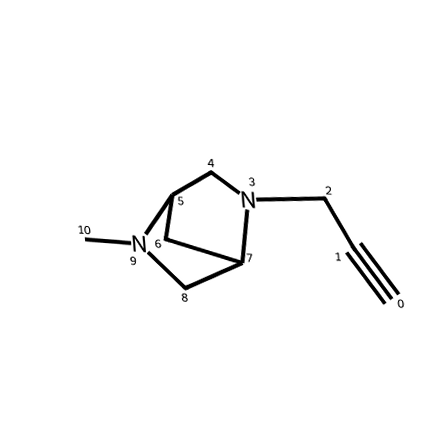 C#CCN1CC2CC1CN2C